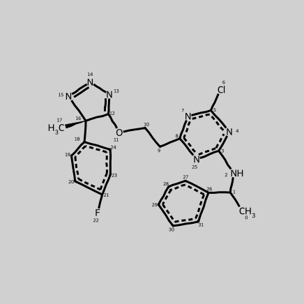 CC(Nc1nc(Cl)nc(CCOC2=NN=N[C@@]2(C)c2ccc(F)cc2)n1)c1ccccc1